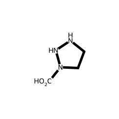 O=C(O)N1CCNN1